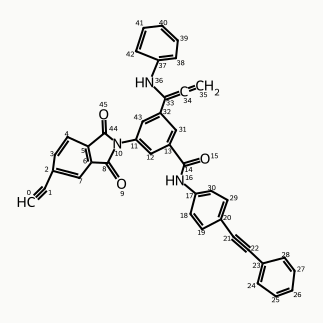 C#Cc1ccc2c(c1)C(=O)N(c1cc(C(=O)Nc3ccc(C#Cc4ccccc4)cc3)cc(C(=C=C)Nc3ccccc3)c1)C2=O